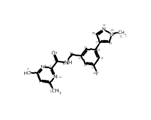 Cc1cc(O)nc(C(=O)NCc2cc(F)cc(-c3cnn(C)c3)c2)n1